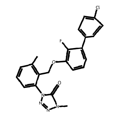 Cc1cccc(-n2nnn(C)c2=O)c1COc1cccc(-c2ccc(Cl)cc2)c1F